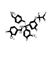 NCc1ccc(C[C@](NC(=O)c2ccc(F)c(C(F)(F)F)c2)(c2cc(F)cc(OC(F)(F)C(F)F)c2)c2ccc(F)c(C(F)(F)F)c2)cc1